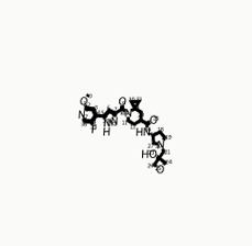 COc1cc(-c2cc(C(=O)N3CCC(C(=O)N[C@H]4CCN(CC5(O)COC5)C4)CC34CC4)n[nH]2)c(F)cn1